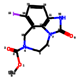 CC(C)(C)OC(=O)N1CCn2c(=O)[nH]c3ccc(I)c(c32)C1